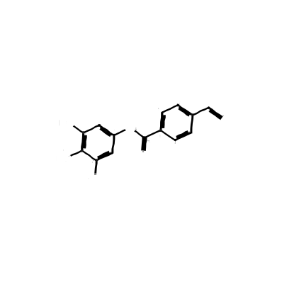 C=Cc1ccc(C(=O)Oc2cc(O)c(O)c(F)c2)cc1